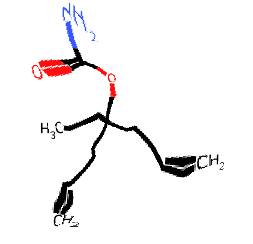 C=CCC(C)(CC=C)OC(N)=O